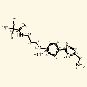 Cl.NCc1cnc(-c2ccc(OCCCNC(=O)C(F)(F)F)cc2)s1